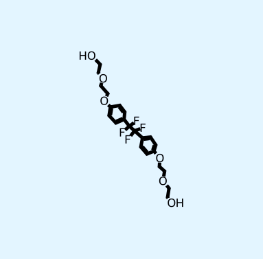 OCCOCCOc1ccc(C(F)(F)C(F)(F)c2ccc(OCCOCCO)cc2)cc1